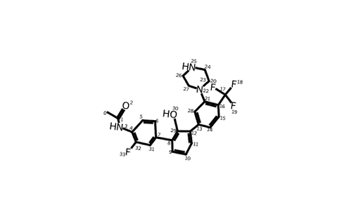 CC(=O)Nc1ccc(-c2cccc(-c3ccc(C(F)(F)F)c(N4CCNCC4)c3)c2O)cc1F